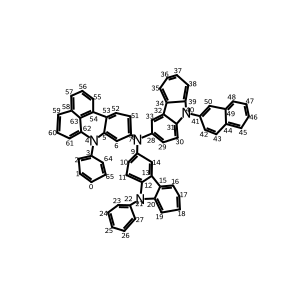 c1ccc(N2c3cc(N(c4ccc5c(c4)c4ccccc4n5-c4ccccc4)c4ccc5c(c4)c4ccccc4n5-c4ccc5ccccc5c4)ccc3-c3cccc4cccc2c34)cc1